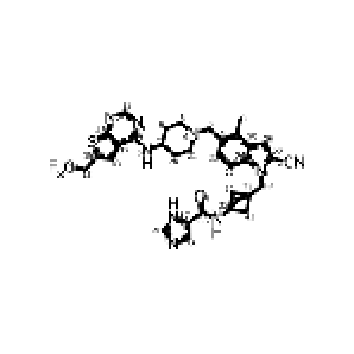 Cc1c(CN2CCC(Nc3ncnc4sc(CC(F)(F)F)cc34)CC2)ccc2c1cc(C#N)n2CC12CC(NC(=O)c3cnc[nH]3)(C1)C2